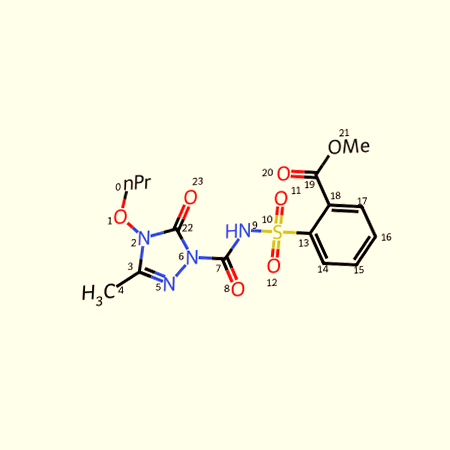 CCCOn1c(C)nn(C(=O)NS(=O)(=O)c2ccccc2C(=O)OC)c1=O